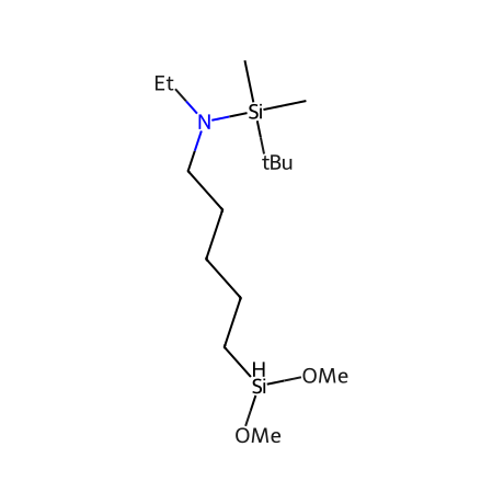 CCN(CCCCC[SiH](OC)OC)[Si](C)(C)C(C)(C)C